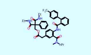 CCCN(C)C(=O)c1cc(CC(=O)OCC(C(=O)NCC)(C(=O)NCC)c2ccccc2)ccc1NC(=O)c1ccccc1-c1ccc(C(F)(F)F)cc1